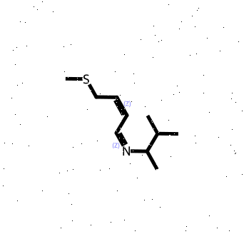 CSC/C=C\C=N/C(C)C(C)C